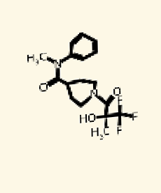 CN(C(=O)C1CCN(C(=O)[C@@](C)(O)C(F)(F)F)CC1)c1ccccc1